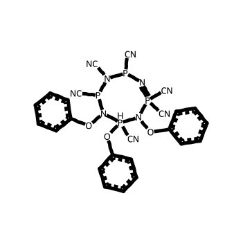 N#CN1P(C#N)N=P(C#N)(C#N)N(Oc2ccccc2)[PH](C#N)(Oc2ccccc2)N(Oc2ccccc2)P1C#N